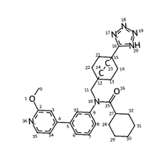 COc1cc(-c2cccc(N(CC34CCC(c5nnn[nH]5)(CC3)CC4)C(=O)C3CCCCC3)c2)ccn1